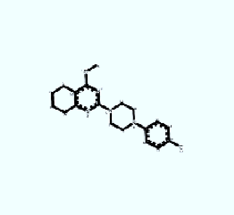 COc1nc(N2CCN(c3ccc(Cl)cc3)CC2)nc2c1CCCC2